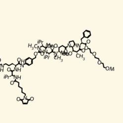 CC[C@H](C)[C@@H]([C@@H](CC(=O)N1CCC[C@H]1[C@H](OC)[C@@H](C)C(=O)N[C@@H](Cc1ccccc1)C(=O)OCCOCCOCCOC)OC)N(C)C(=O)[C@@H](NC(=O)[C@H](C(C)C)N(C)C(=O)OCc1ccc(NC(=O)[C@H](CCCNC(N)=O)NC(=O)[C@@H](NC(=O)CCCCCN2C(=O)C=CC2=O)C(C)C)cc1)C(C)C